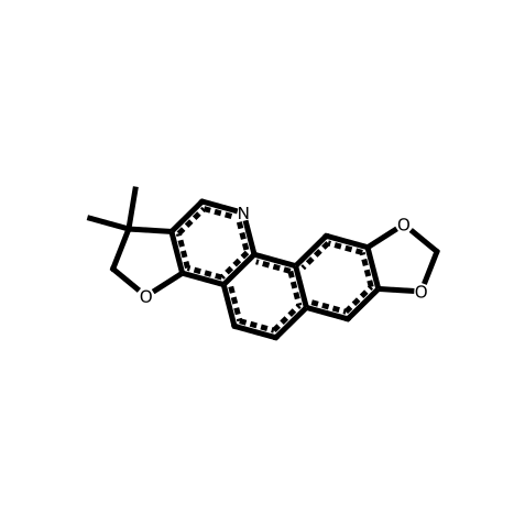 CC1(C)COc2c1cnc1c2ccc2cc3c(cc21)OCO3